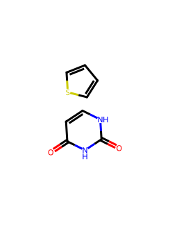 O=c1cc[nH]c(=O)[nH]1.c1ccsc1